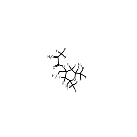 C=C(C(=O)OC1(CC)C(F)(F)C(C)(C(F)(F)F)OC(O)(C(F)(F)F)C1(F)F)C(F)(F)F